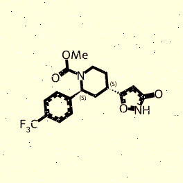 COC(=O)N1CC[C@H](c2cc(=O)[nH]o2)C[C@H]1c1ccc(C(F)(F)F)cc1